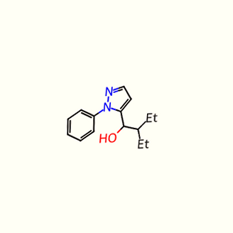 CCC(CC)C(O)c1ccnn1-c1ccccc1